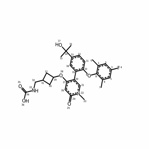 Cc1cc(F)cc(C)c1Oc1ccc(C(C)(C)O)cc1-c1cn(C)c(=O)cc1OC1CC(CNC(=O)O)C1